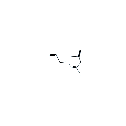 C=C(C)CC(=NOCC=NO)C(C)=O